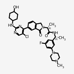 C[C@H](C(=O)N[C@H](C)c1cc(F)cc(N2CCN(C)CC2)c1)N1Cc2ccc(-c3nc(NC4CCC(O)CC4)ncc3Cl)cc2C1=O